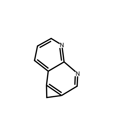 c1cnc2ncc3c(c2c1)C3